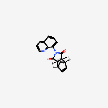 O=C1[C@@H]2[C@H](C(=O)N1c1cccc3cccnc13)[C@@H]1C=C[C@H]2C1